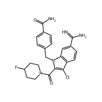 N=C(N)c1ccc2c(Cl)c(C(=O)N3CCC(F)CC3)n(Cc3ccc(C(N)=O)cc3)c2c1